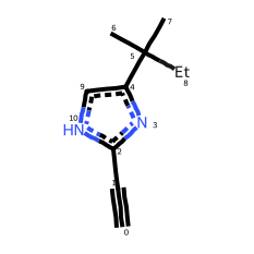 C#Cc1nc(C(C)(C)CC)c[nH]1